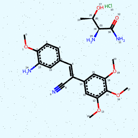 COc1ccc(C=C(C#N)c2cc(OC)c(OC)c(OC)c2)cc1N.C[C@@H](O)[C@H](N)C(N)=O.Cl